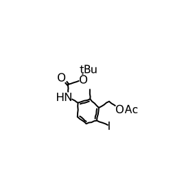 CC(=O)OCc1c(I)ccc(NC(=O)OC(C)(C)C)c1C